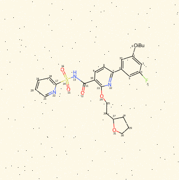 CC(C)COc1cc(F)cc(-c2ccc(C(=O)NS(=O)(=O)c3ccccn3)c(OCCC3CCCO3)n2)c1